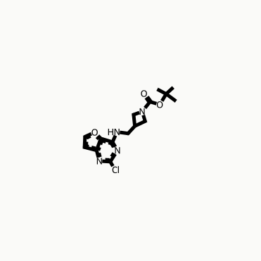 CC(C)(C)OC(=O)N1CC(CNc2nc(Cl)nc3ccoc23)C1